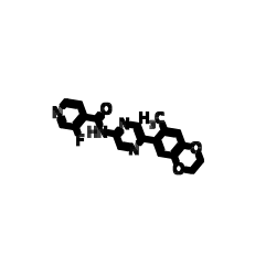 Cc1cc2c(cc1-c1cnc(NC(=O)c3ccncc3F)cn1)OCCO2